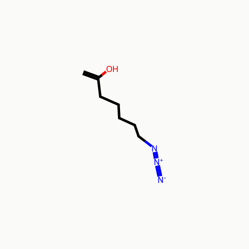 C=C(O)CCCCCN=[N+]=[N-]